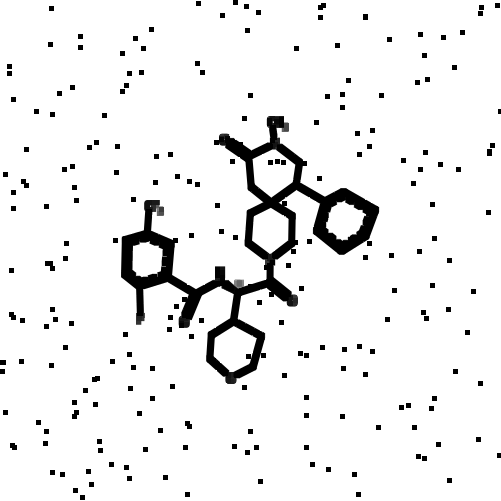 CN1CC(c2ccccc2)C2(CCN(C(=O)[C@H](NC(=O)c3cc(C(F)(F)F)ccc3F)C3CCOCC3)CC2)CC1=O